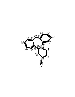 N#CC1CCN2c3ccccc3Cc3ccccc3C2C1